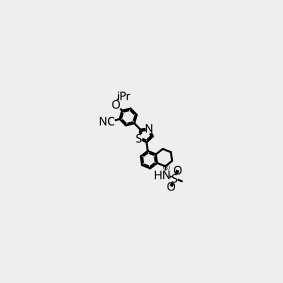 CC(C)Oc1ccc(-c2ncc(-c3cccc4c3CCC[C@H]4NS(C)(=O)=O)s2)cc1C#N